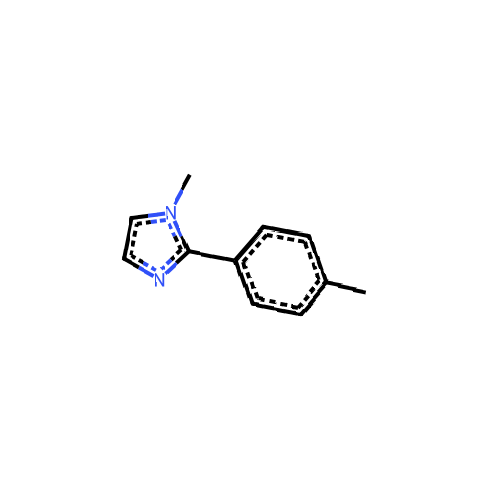 Cc1ccc(-c2nccn2C)cc1